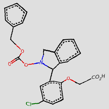 O=C(O)COc1ccc(Cl)cc1C1c2ccccc2CN1OC(=O)OCc1ccccc1